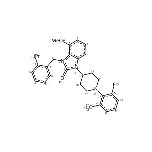 COc1cccc2c1n(Cc1cnccc1C(C)C)c(=O)n2C1CCN(c2c(C)cccc2F)CC1